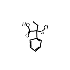 CCC(SCl)(C(=O)O)c1ccccc1